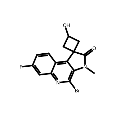 CN1C(=O)C2(CC(O)C2)c2c1c(Br)nc1cc(F)ccc21